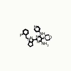 Nc1nc(-c2nn(Cc3ccccc3F)c3c2CCC3)nc(Nc2ccncc2)c1N1CCOCC1